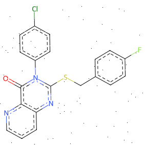 O=c1c2ncccc2nc(SCc2ccc(F)cc2)n1-c1ccc(Cl)cc1